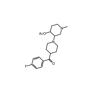 CC(=O)OC1CCN(C)CC1N1CCC(C(=O)c2ccc(F)cc2)CC1